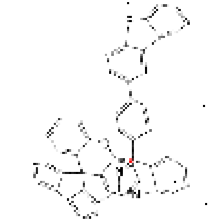 c1ccc2c(c1)Oc1ccccc1C21c2ccccc2-c2cccc(-c3nc(-c4ccc(-c5ccc6sc7ccccc7c6c5)cc4)c4ccccc4n3)c21